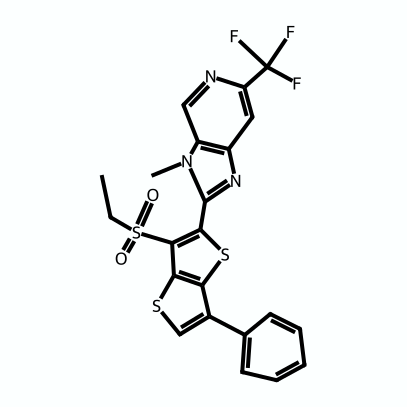 CCS(=O)(=O)c1c(-c2nc3cc(C(F)(F)F)ncc3n2C)sc2c(-c3ccccc3)csc12